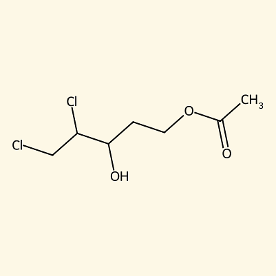 CC(=O)OCCC(O)C(Cl)CCl